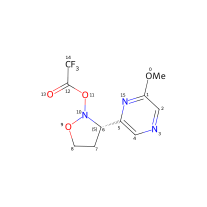 COc1cncc([C@@H]2CCON2OC(=O)C(F)(F)F)n1